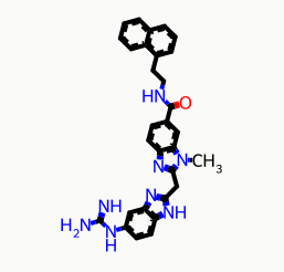 Cn1c(Cc2nc3cc(NC(=N)N)ccc3[nH]2)nc2ccc(C(=O)NCCc3cccc4ccccc34)cc21